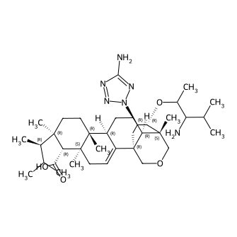 CC(C)C(N)C(C)O[C@H]1[C@H](n2nnc(N)n2)C[C@@]23COC[C@]1(C)[C@@H]2CC[C@H]1C3=CC[C@@]2(C)[C@H](C(=O)O)[C@@](C)([C@H](C)C(C)C)CC[C@]12C